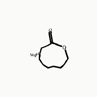 O=C1CCCCCO1.[MgH2]